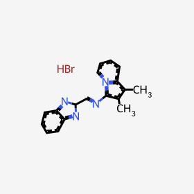 Br.Cc1c(C)c2ccccn2c1N=CC1N=c2ccccc2=N1